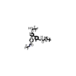 Cc1cc(-c2ccncc2N2CCN(C(=O)/C=C/C(F)(F)F)CC2)ccc1CNC(=O)c1noc(C(C)(C)C)n1.O=C(O)C(F)(F)F